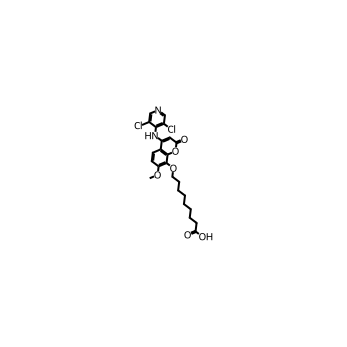 COc1ccc2c(Nc3c(Cl)cncc3Cl)cc(=O)oc2c1OCCCCCCCCC(=O)O